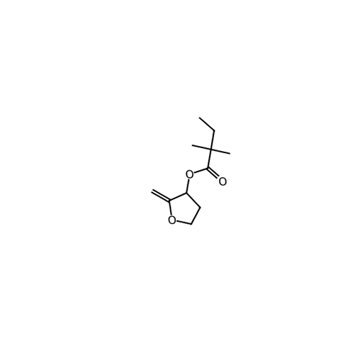 C=C1OCCC1OC(=O)C(C)(C)CC